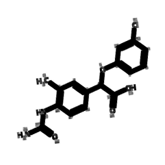 Cc1cc(C(Oc2cccc(Cl)c2)C(=O)O)ccc1NC(N)=O